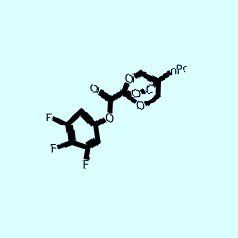 CCCC12COC(C(=O)Oc3cc(F)c(F)c(F)c3)(OC1)OC2